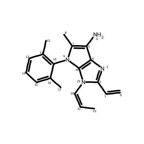 C=Cc1nc2c(N)c(C)n(-c3c(C)cccc3C)c2n1/C=C\C